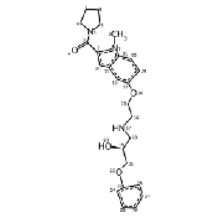 Cn1c(C(=O)N2CCCC2)cc2cc(OCCNC[C@H](O)COc3ccccc3)ccc21